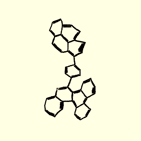 c1cc2ccc3ccc(-c4ccc(-c5nc6ccccc6c6c7ccccc7c7ccccc7c56)cc4)c4ccc(c1)c2c34